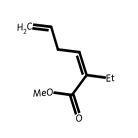 C=CCC=C(CC)C(=O)OC